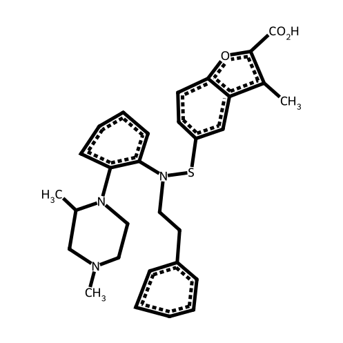 Cc1c(C(=O)O)oc2ccc(SN(CCc3ccccc3)c3ccccc3N3CCN(C)CC3C)cc12